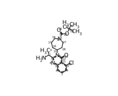 C[C@H](N)c1nc2cccc(Cl)c2c(=O)n1C1CCCN(C(=O)OC(C)(C)C)CC1